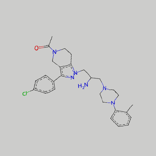 CC(=O)N1CCc2c(c(-c3ccc(Cl)cc3)nn2CC(N)CN2CCN(c3ccccc3C)CC2)C1